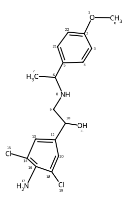 COc1ccc(C(C)NCC(O)c2cc(Cl)c(N)c(Cl)c2)cc1